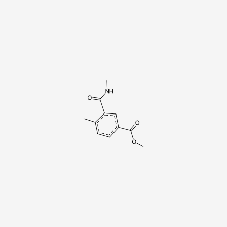 CNC(=O)c1cc(C(=O)OC)ccc1C